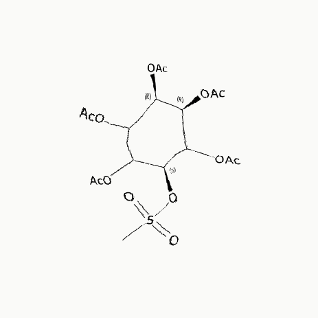 CC(=O)OC1C(OC(C)=O)[C@@H](OC(C)=O)[C@@H](OC(C)=O)C(OC(C)=O)[C@H]1OS(C)(=O)=O